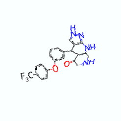 O=C1CNCC2=C1C(c1cccc(Oc3ccc(C(F)(F)F)cc3)c1)c1c[nH]nc1N2